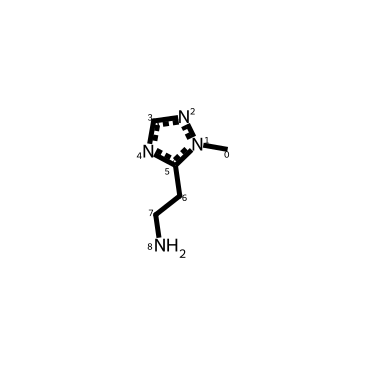 Cn1ncnc1CCN